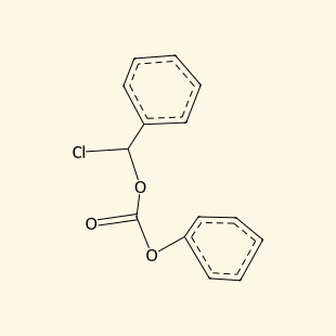 O=C(Oc1ccccc1)OC(Cl)c1ccccc1